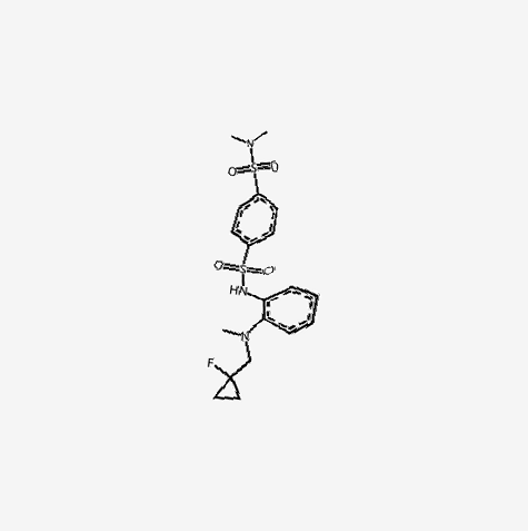 CN(CC1(F)CC1)c1ccccc1NS(=O)(=O)c1ccc(S(=O)(=O)N(C)C)cc1